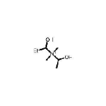 CCC(O)[N+](C)(C)C(C)O